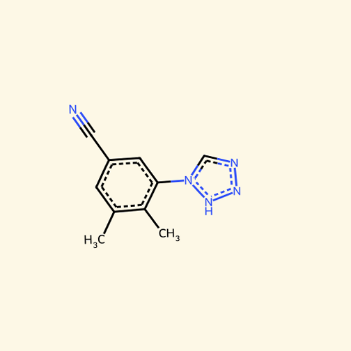 Cc1cc(C#N)cc(-[n+]2cnn[nH]2)c1C